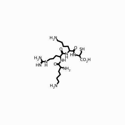 N=C(N)NCCCC(NC(=O)C(N)CCCCN)C(=O)NC(CCCCN)C(=O)NC(CS)C(=O)O